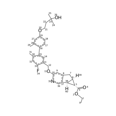 CCOC(=O)[C@H]1[C@@H]2Cc3cc(OCc4cc(-c5ccc(OCCC(C)(C)O)cc5C)c(C)cc4F)ncc3[C@@H]21